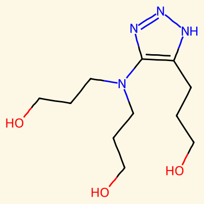 OCCCc1[nH]nnc1N(CCCO)CCCO